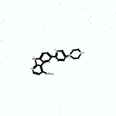 CCCCCc1ccnc2[nH]c3ccc(-c4ccc(N5CCOCC5)cn4)cc3c12